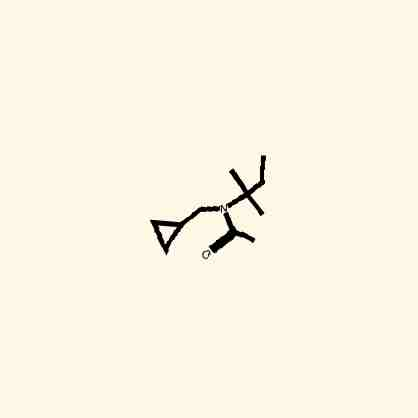 CCC(C)(C)N(CC1CC1)C(C)=O